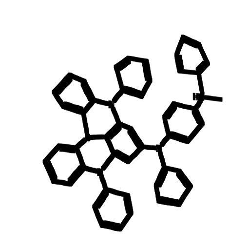 C[SiH](c1ccccc1)c1ccc(N(c2ccccc2)c2cc3c4c(c2)N(c2ccccc2)c2ccccc2B4c2ccccc2N3c2ccccc2)cc1